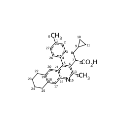 Cc1ccc(-c2c(C(CC3CC3)C(=O)O)c(C)nc3cc4c(cc23)CCCC4)cc1